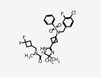 CN(CC1CC(F)(F)C1)C(=O)[C@@H]1NC(C23CC(N(Cc4ccc(Cl)c(F)c4)S(=O)(=O)c4ccccc4)(C2)C3)=NC1(C)C